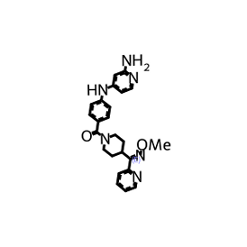 CO/N=C(/c1ccccn1)C1CCN(C(=O)c2ccc(Nc3ccnc(N)c3)cc2)CC1